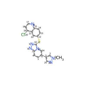 Cn1cc(-c2ccc3nnc(Sc4ccc5nc[c]c(Cl)c5c4)n3c2)cn1